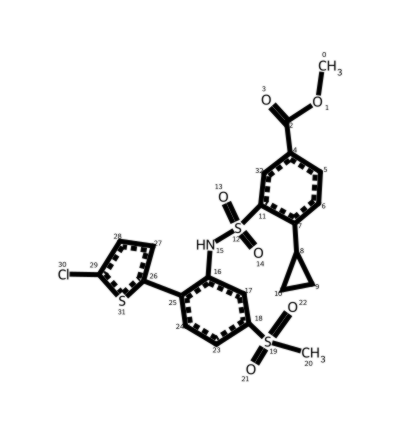 COC(=O)c1ccc(C2CC2)c(S(=O)(=O)Nc2cc(S(C)(=O)=O)ccc2-c2ccc(Cl)s2)c1